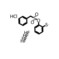 Cl.F.F.F.F.O=S(=O)(Cc1ccccc1)Oc1ccccc1[S]